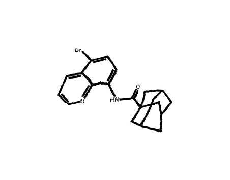 O=C(Nc1ccc(Br)c2cccnc12)C12CC3CC(CC(C3)C1)C2